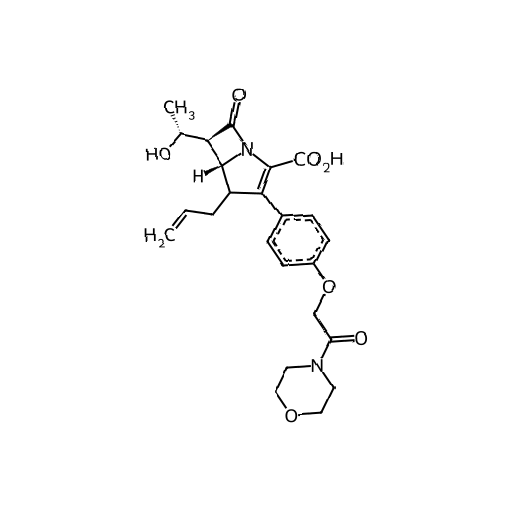 C=CCC1C(c2ccc(OCC(=O)N3CCOCC3)cc2)=C(C(=O)O)N2C(=O)[C@H]([C@@H](C)O)[C@@H]12